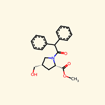 COC(=O)[C@@H]1C[C@H](CO)CN1C(=O)C(c1ccccc1)c1ccccc1